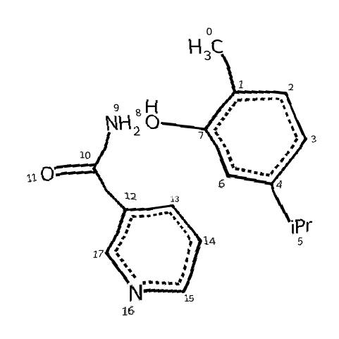 Cc1ccc(C(C)C)cc1O.NC(=O)c1cccnc1